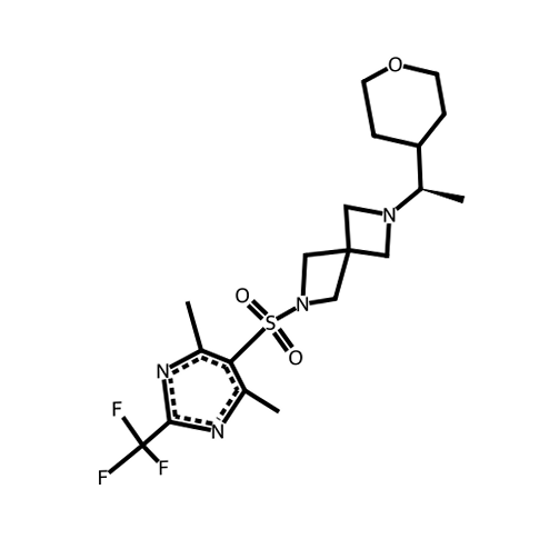 Cc1nc(C(F)(F)F)nc(C)c1S(=O)(=O)N1CC2(CN([C@H](C)C3CCOCC3)C2)C1